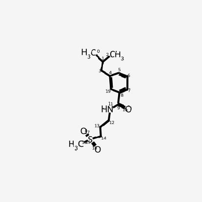 CC(C)Cc1cccc(C(=O)NCCCS(C)(=O)=O)c1